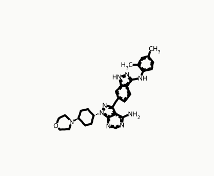 Cc1ccc(Nc2n[nH]c3cc(-c4nn([C@H]5CC[C@H](N6CCOCC6)CC5)c5ncnc(N)c45)ccc23)c(C)c1